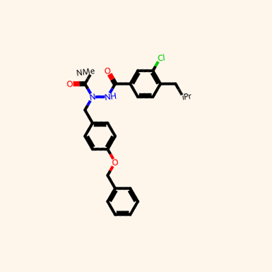 CNC(=O)N(Cc1ccc(OCc2ccccc2)cc1)NC(=O)c1ccc(CC(C)C)c(Cl)c1